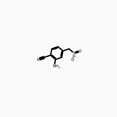 N#Cc1ccc(C[SH](=O)=O)cc1N